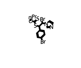 CCCOC(=S)SC(c1ccc(Br)cc1)C(Br)n1ccnc1